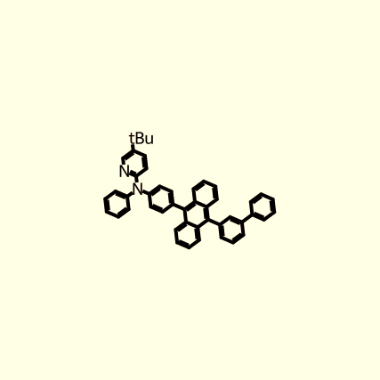 CC(C)(C)c1ccc(N(c2ccccc2)c2ccc(-c3c4ccccc4c(-c4cccc(-c5ccccc5)c4)c4ccccc34)cc2)nc1